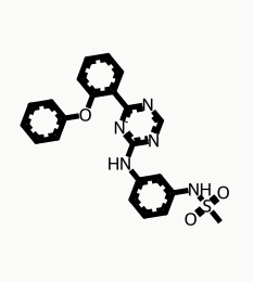 CS(=O)(=O)Nc1cccc(Nc2ncnc(-c3ccccc3Oc3ccccc3)n2)c1